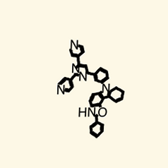 C1=Cc2c(n(-c3cccc(-c4cc(-c5ccncc5)nc(-c5ccncc5)n4)c3)c3ccc4c(c23)OC(c2ccccc2)N4)CC1